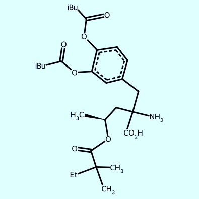 CCC(C)C(=O)Oc1ccc(CC(N)(C[C@H](C)OC(=O)C(C)(C)CC)C(=O)O)cc1OC(=O)C(C)CC